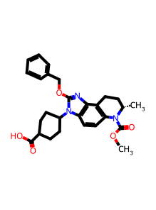 COC(=O)N1c2ccc3c(nc(OCc4ccccc4)n3C3CCC(C(=O)O)CC3)c2CC[C@@H]1C